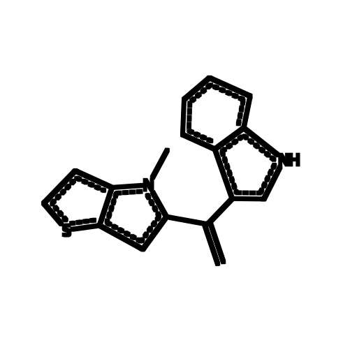 C=C(c1c[nH]c2ccccc12)c1cc2sccc2n1C